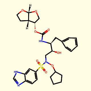 O=C(N[C@@H](Cc1ccccc1)[C@@H](O)CN(OC1CCCC1)S(=O)(=O)c1ccc2nc[nH]c2c1)O[C@H]1CO[C@H]2OCC[C@H]21